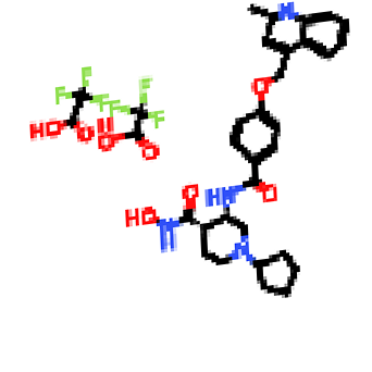 Cc1cc(COc2ccc(C(=O)N[C@@H]3CN(C4CCCC4)CC[C@@H]3C(=O)NO)cc2)c2ccccc2n1.O=C(O)C(F)(F)F.O=C(O)C(F)(F)F